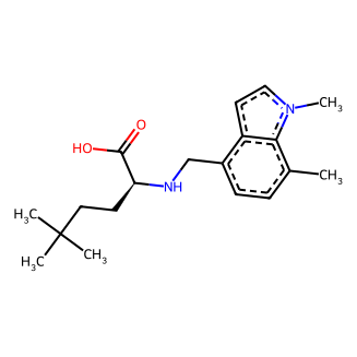 Cc1ccc(CN[C@@H](CCC(C)(C)C)C(=O)O)c2ccn(C)c12